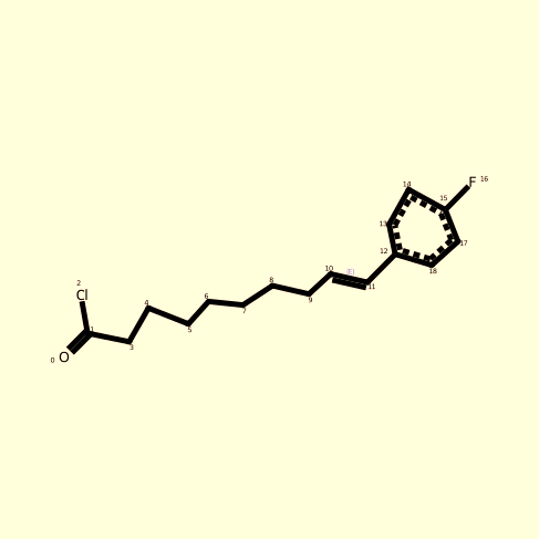 O=C(Cl)CCCCCCC/C=C/c1ccc(F)cc1